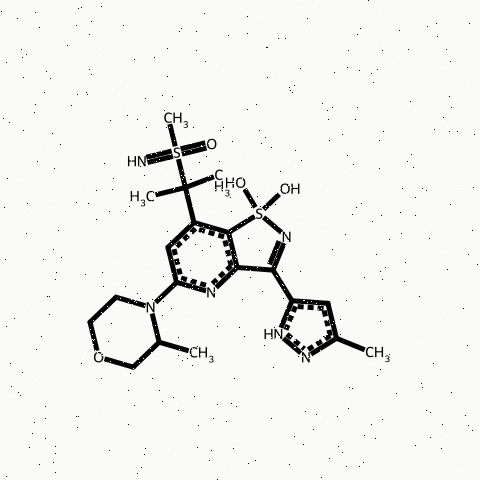 Cc1cc(C2=NS(O)(O)c3c(C(C)(C)S(C)(=N)=O)cc(N4CCOCC4C)nc32)[nH]n1